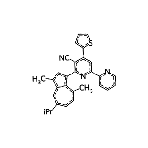 Cc1cc(-c2nc(-c3ccccn3)cc(-c3cccs3)c2C#N)c2c(C)ccc(C(C)C)cc1-2